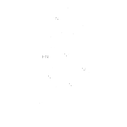 Nc1nc(-c2ccco2)nc2[nH]c(Cc3ccccn3)nc12